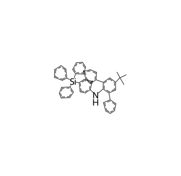 CC(C)(C)c1cc(-c2ccccc2)c(Nc2ccc([Si](c3ccccc3)(c3ccccc3)c3ccccc3)cc2)c(-c2ccccc2)c1